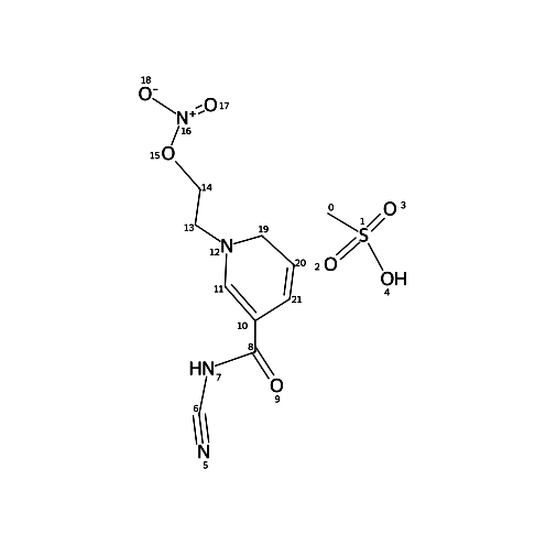 CS(=O)(=O)O.N#CNC(=O)C1=CN(CCO[N+](=O)[O-])CC=C1